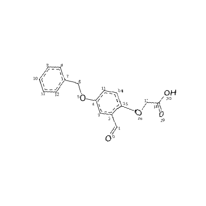 O=Cc1cc(OCc2ccccc2)ccc1OCC(=O)O